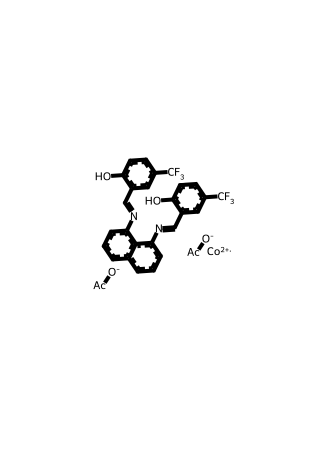 CC(=O)[O-].CC(=O)[O-].Oc1ccc(C(F)(F)F)cc1C=Nc1cccc2cccc(N=Cc3cc(C(F)(F)F)ccc3O)c12.[Co+2]